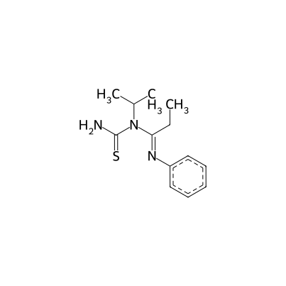 CC/C(=N\c1ccccc1)N(C(N)=S)C(C)C